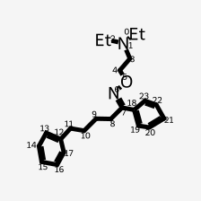 CCN(CC)CCON=C(CCCCc1ccccc1)c1ccccc1